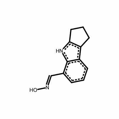 ON=Cc1cccc2c3c([nH]c12)CCC3